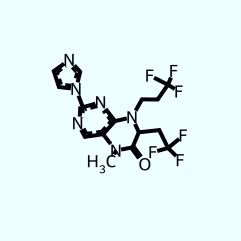 CN1C(=O)C(CC(F)(F)F)N(CCC(F)(F)F)c2nc(-n3ccnc3)ncc21